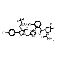 NC(=O)[C@@H]1CC(F)(F)CN1C(=O)c1cccc(Cl)c1-n1cnc(Cn2nc(-c3ccc(Cl)cc3)n(C[C@@H](O)C(F)(F)F)c2=O)n1